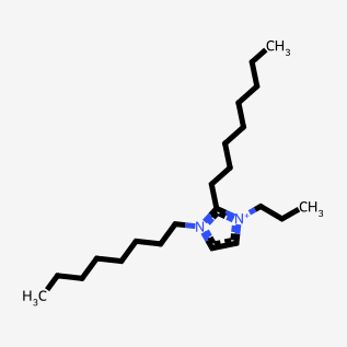 CCCCCCCCc1n(CCCCCCCC)cc[n+]1CCC